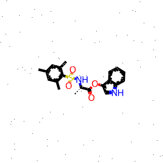 Cc1cc(C)c(S(=O)(=O)N[C@@H](C)C(=O)Oc2c[nH]c3ccccc23)c(C)c1